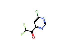 O=C(c1cc(Cl)ncn1)C(F)F